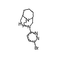 CN1C2CCCC1CN(c1ccc(Br)nn1)CC2